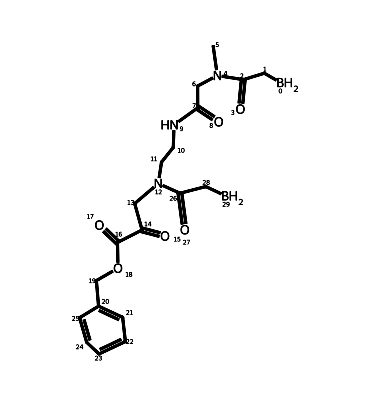 BCC(=O)N(C)CC(=O)NCCN(CC(=O)C(=O)OCc1ccccc1)C(=O)CB